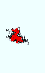 CC(C)C[C@H](NC(=O)[C@H](Cc1ccc(O)cc1)NC(=O)[C@H](Cc1ccc(O)cc1)NC(=O)[C@H](CCC(N)=O)NC(=O)[C@H](CC(C)C)NC(=O)[C@H](CC(C)C)NC(=O)[C@H](CCC(=O)O)NC(=O)[C@H](CCC(=O)O)NC(=O)[C@H](CCC(=O)O)NC(=O)[C@@H](NC(=O)[C@@H]1CCCN1C(=O)[C@H](Cc1c[nH]cn1)NC(=O)[C@H](Cc1ccccc1)NC(=O)[C@@H](N)CCCNC(=N)N)[C@@H](C)O)C(=O)N[C@@H](CCCNC(=N)N)C(=O)O